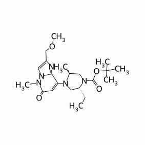 CC[C@@H]1CN(c2cc(=O)n(C)n3cc(COC)nc23)[C@@H](C)CN1C(=O)OC(C)(C)C